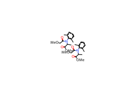 COCC(=O)N(c1c(C)cccc1C)C(C)C(=O)OC.COCC(=O)N(c1c(C)cccc1C)C(C)C(=O)OC